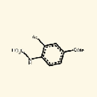 COc1ccc(NC(=O)O)c(C(C)=O)c1